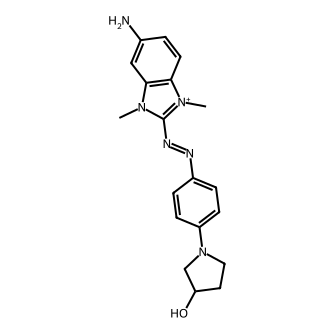 Cn1c(/N=N/c2ccc(N3CCC(O)C3)cc2)[n+](C)c2ccc(N)cc21